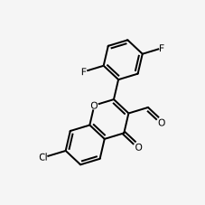 O=Cc1c(-c2cc(F)ccc2F)oc2cc(Cl)ccc2c1=O